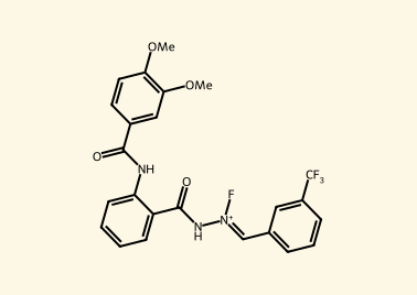 COc1ccc(C(=O)Nc2ccccc2C(=O)N[N+](F)=Cc2cccc(C(F)(F)F)c2)cc1OC